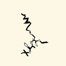 CCCCCCCSSC[C@H](NC(C)C(=O)OC(C)(C)C)C(=O)OCC